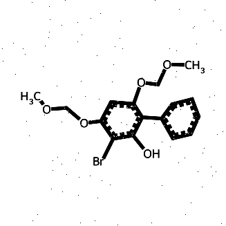 COCOc1cc(OCOC)c(-c2ccccc2)c(O)c1Br